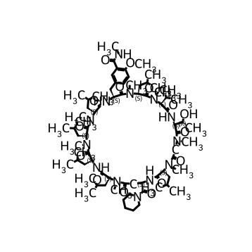 CNC(=O)c1cc(C[C@@H]2NC(=O)[C@H](CC(C)C)N(C)C(=O)[C@H](CC(C)C)N(C)C(=O)[C@H](CC(C)C)NC(=O)[C@H](CC(C)C)N(C)C(=O)C[C@@H](C(=O)N3CCCCC3)NC(=O)[C@H](CC(C)C)N(C)C(=O)CN(C)C(=O)[C@H]([C@@H](C)O)NC(=O)[C@H](C(C)C)N(C)C(=O)[C@H](CC(C)C)N(C)C2=O)ccc1OC